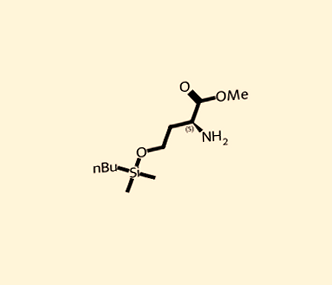 CCCC[Si](C)(C)OCC[C@H](N)C(=O)OC